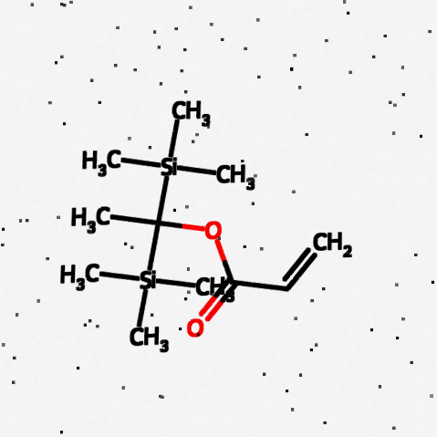 C=CC(=O)OC(C)([Si](C)(C)C)[Si](C)(C)C